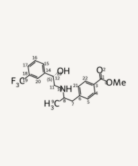 COC(=O)c1ccc(CC(C)NC[C@@H](O)c2cccc(C(F)(F)F)c2)cc1